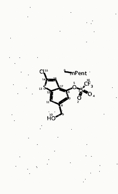 CCCCCC.O=S(=O)(Oc1cc(CO)cc2sc(Cl)cc12)C(F)(F)F